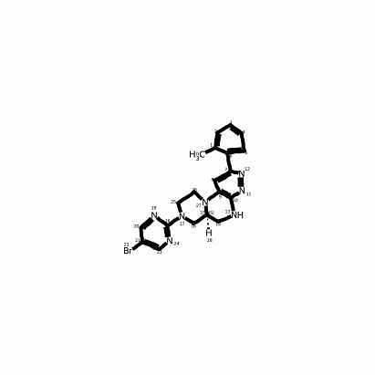 Cc1ccccc1-c1cc2c(nn1)NC[C@H]1CN(c3ncc(Br)cn3)CCN21